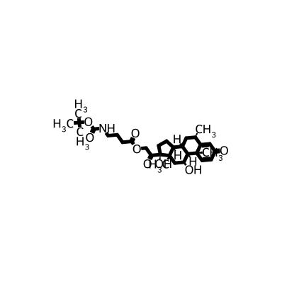 C[C@H]1C[C@@H]2[C@H]([C@@H](O)C[C@@]3(C)[C@H]2CC[C@]3(O)C(=O)COC(=O)CCCNC(=O)OC(C)(C)C)[C@@]2(C)C=CC(=O)C=C12